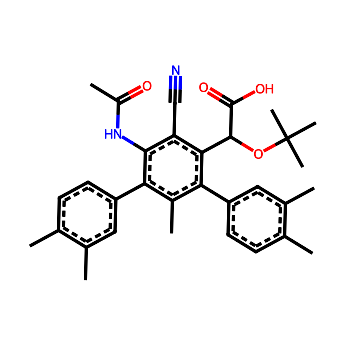 CC(=O)Nc1c(C#N)c(C(OC(C)(C)C)C(=O)O)c(-c2ccc(C)c(C)c2)c(C)c1-c1ccc(C)c(C)c1